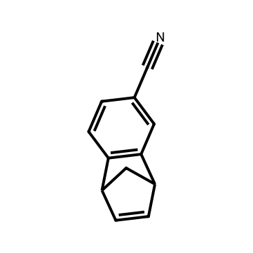 N#Cc1ccc2c(c1)C1C=CC2C1